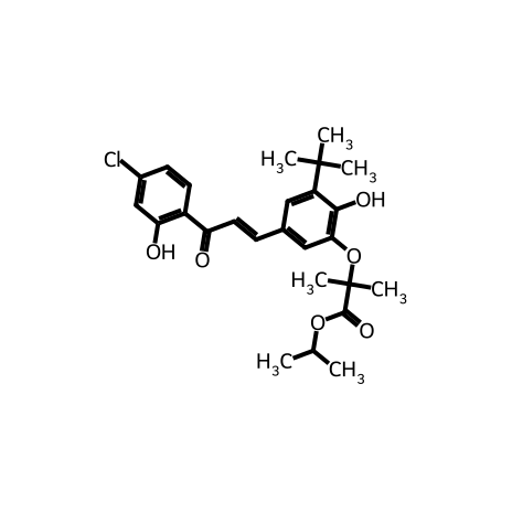 CC(C)OC(=O)C(C)(C)Oc1cc(C=CC(=O)c2ccc(Cl)cc2O)cc(C(C)(C)C)c1O